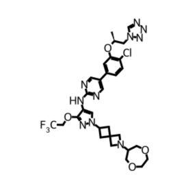 C[C@@H](Cn1cnnn1)Oc1cc(-c2cnc(Nc3cn(C4CC5(C4)CN(C4COCCOC4)C5)nc3OCC(F)(F)F)nc2)ccc1Cl